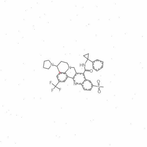 CS(=O)(=O)c1ccc2nc(-c3cccc(C(F)(F)F)c3)c(CN3CCC(N4CCCC4)CC3)c(C(=O)NC3(c4ccccc4)CC3)c2c1